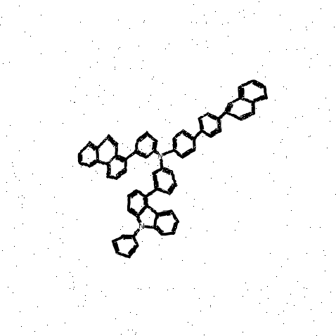 c1ccc(-n2c3ccccc3c3c(-c4cccc(N(c5ccc(-c6ccc(-c7ccc8ccccc8c7)cc6)cc5)c5cccc(-c6cccc7c6ccc6ccccc67)c5)c4)cccc32)cc1